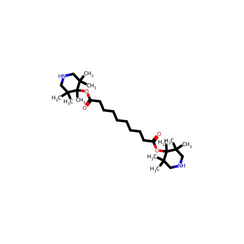 CC1(C)CNCC(C)(C)C1(C)OC(=O)CCCCCCCCC(=O)OC1(C)C(C)(C)CNCC1(C)C